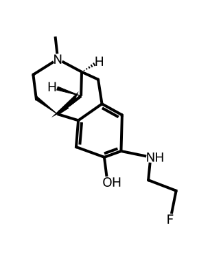 CN1CC[C@]23CCCC[C@H]2[C@@H]1Cc1cc(NCCF)c(O)cc13